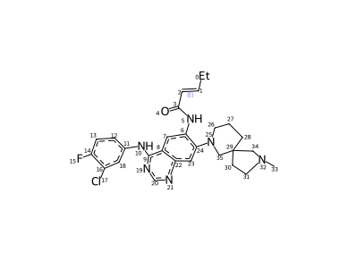 CC/C=C/C(=O)Nc1cc2c(Nc3ccc(F)c(Cl)c3)ncnc2cc1N1CCCC2(CCN(C)C2)C1